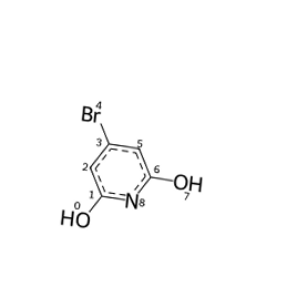 Oc1cc(Br)cc(O)n1